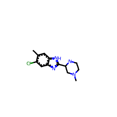 Cc1cc2[nH]c(C3CN(C)CC[N]3)nc2cc1Cl